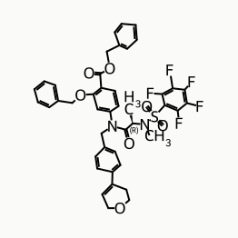 C[C@H](C(=O)N(Cc1ccc(C2=CCOCC2)cc1)c1ccc(C(=O)OCc2ccccc2)c(OCc2ccccc2)c1)N(C)S(=O)(=O)c1c(F)c(F)c(F)c(F)c1F